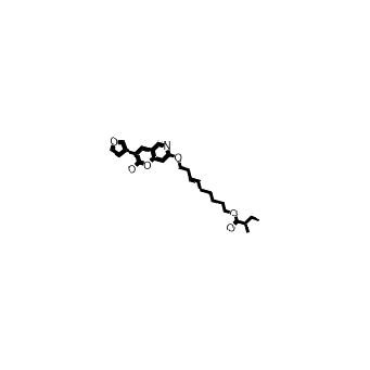 CCC(C)C(=O)OCCCCCCCCCOc1cc2oc(=O)c(-c3ccoc3)cc2cn1